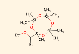 CCOC(CC)[Si]1(C)O[Si](C)(C)O[Si](C)(C)O[Si](C)(C)O1